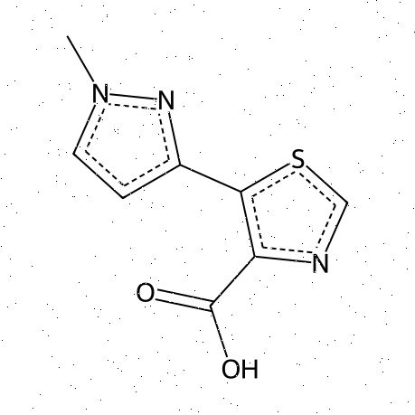 Cn1ccc(-c2scnc2C(=O)O)n1